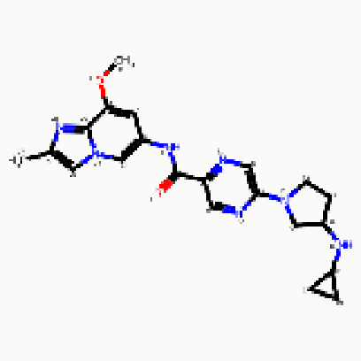 COc1cc(NC(=O)c2cnc(N3CCC(NC4CC4)C3)cn2)cn2cc(C)nc12